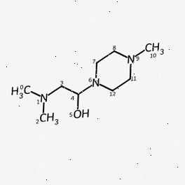 CN(C)CC(O)N1CCN(C)CC1